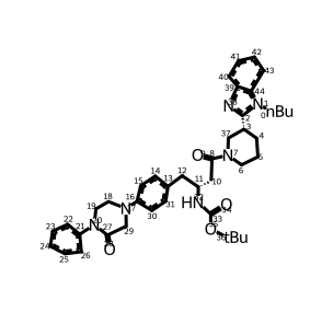 CCCCn1c([C@@H]2CCCN(C(=O)C[C@@H](Cc3ccc(N4CCN(c5ccccc5)C(=O)C4)cc3)NC(=O)OC(C)(C)C)C2)nc2ccccc21